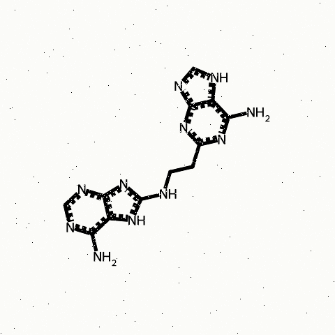 Nc1nc(CCNc2nc3ncnc(N)c3[nH]2)nc2nc[nH]c12